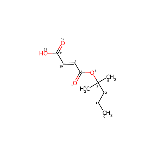 CCCC(C)(C)OC(=O)C=CC(=O)O